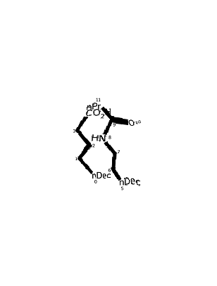 CCCCCCCCCCCCCC(=O)O.CCCCCCCCCCCCNC(=O)CCC